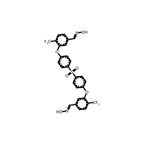 O=S(=O)(c1ccc(Oc2cc(/C=N/O)ccc2C(F)(F)F)cc1)c1ccc(Oc2cc(/C=N/O)ccc2C(F)(F)F)cc1